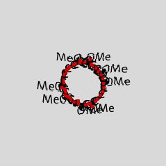 COCOC12CCC(OCOC)(CC1)c1ccc(cc1)-c1ccc(cc1)C1(OCOC)CCC(OCOC)(CC1)c1ccc(cc1)-c1ccc3cc(ccc3c1)-c1ccc(cc1)C1(OCOC)CCC(OCOC)(CC1)c1ccc(cc1)-c1ccc(cc1)C1(OCOC)CCC(OCOC)(CC1)c1ccc(cc1)-c1ccc(cc1)-c1ccc2cc1